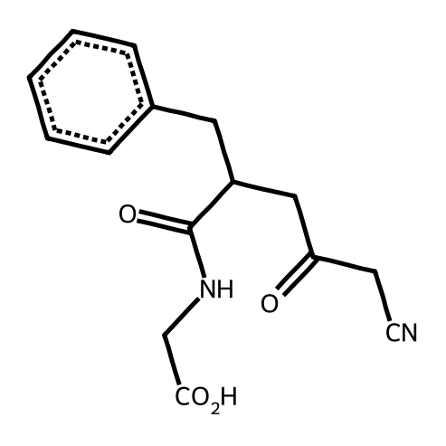 N#CCC(=O)CC(Cc1ccccc1)C(=O)NCC(=O)O